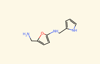 NCc1ccc(NCc2ccc[nH]2)o1